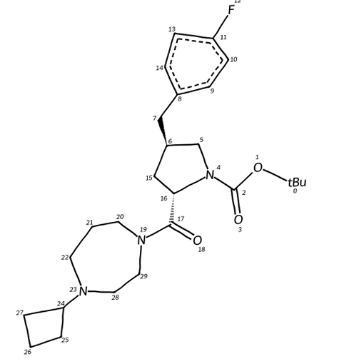 CC(C)(C)OC(=O)N1C[C@H](Cc2ccc(F)cc2)C[C@H]1C(=O)N1CCCN(C2CCC2)CC1